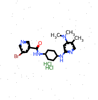 Cc1cnc(NC2CCC(NC(=O)c3cncc(Br)c3)CC2)cc1N(C)C.Cl.Cl